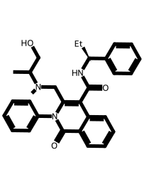 CC[C@H](NC(=O)c1c(CN(C)C(C)CO)n(-c2ccccc2)c(=O)c2ccccc12)c1ccccc1